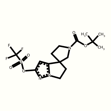 CC(C)(C)OC(=O)N1CCC2(CCn3nc(OS(=O)(=O)C(F)(F)F)cc32)C1